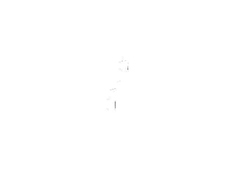 C(C=Cc1ccncc1)=Cc1ccccc1